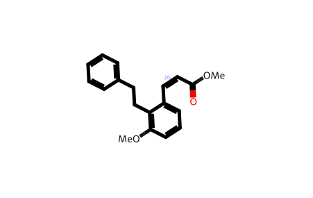 COC(=O)/C=C\c1cccc(OC)c1CCc1ccccc1